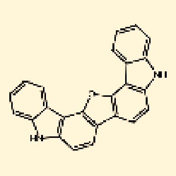 c1ccc2c(c1)[nH]c1ccc3c4ccc5[nH]c6ccccc6c5c4oc3c12